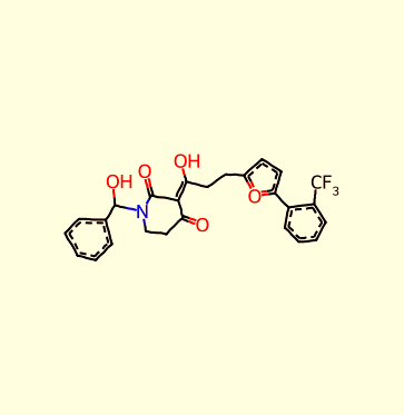 O=C1CCN(C(O)c2ccccc2)C(=O)/C1=C(\O)CCc1ccc(-c2ccccc2C(F)(F)F)o1